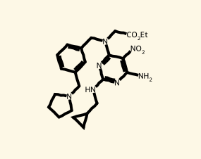 CCOC(=O)CN(Cc1cccc(CN2CCCC2)c1)c1nc(NCC2CC2)nc(N)c1[N+](=O)[O-]